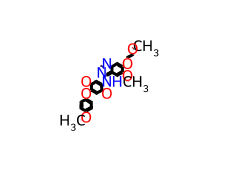 COCCOc1cc2ncnc(NC3=CC(=O)C(Oc4ccc(OC)cc4)=CC3=O)c2cc1OC